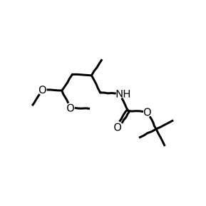 COC(CC(C)CNC(=O)OC(C)(C)C)OC